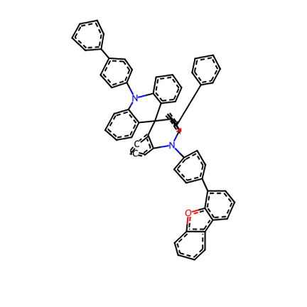 c1ccc(-c2ccc(N3c4ccccc4C4(c5ccccc53)c3ccccc3N(c3ccc(-c5cccc6c5oc5ccccc56)cc3)c3ccc(-c5ccccc5)cc34)cc2)cc1